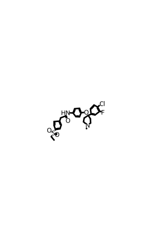 CCS(=O)(=O)c1ccc(CC(=O)Nc2ccc(OC3(c4ccc(Cl)c(F)c4)CCN(C)CC3)cc2)cc1